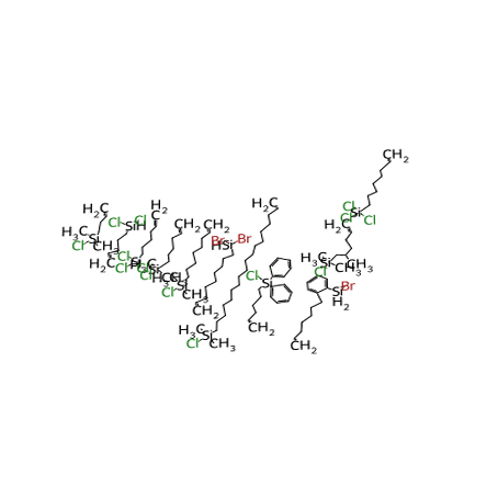 C=CCCC(C)C[Si](C)(C)Cl.C=CCCCCCCCCCCCCCCCC[Si](C)(C)Cl.C=CCCCCCCC[SiH](Br)Br.C=CCCCCCC[Si](C)(C)Cl.C=CCCCCCC[Si](Cl)(Cl)Cl.C=CCCCCCc1ccccc1[SiH2]Br.C=CCCCC[Si](C)(C)Cl.C=CCCCC[Si](Cl)(Cl)Cl.C=CCCCC[Si](Cl)(c1ccccc1)c1ccccc1.C=CCCC[SiH](Cl)Cl.C=CCC[Si](C)(C)Cl